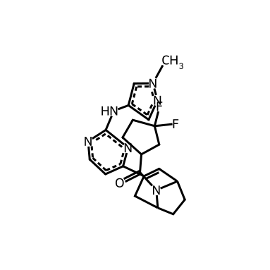 Cn1cc(Nc2nccc(C3=CC4CCC(C3)N4C(=O)C3CCC(F)(F)C3)n2)cn1